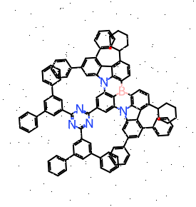 c1ccc(-c2cc(-c3ccccc3)cc(-c3nc(-c4cc(-c5ccccc5)cc(-c5ccccc5)c4)nc(-c4cc5c6c(c4)-n4c7cc(-c8ccccc8)cc(-c8ccccc8)c7c7c(C8CCCCC8)ccc(c74)B6c4ccc(C6CCCCC6)c6c7c(-c8ccccc8)cc(-c8ccccc8)cc7n-5c46)n3)c2)cc1